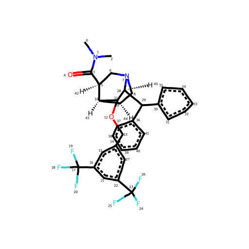 CN(C)C(=O)[C@H]1CN2CC[C@@H]1[C@H](OCc1cc(C(F)(F)F)cc(C(F)(F)F)c1)[C@@H]2C(c1ccccc1)c1ccccc1